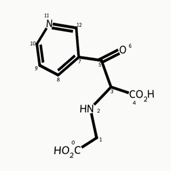 O=C(O)CNC(C(=O)O)C(=O)c1cccnc1